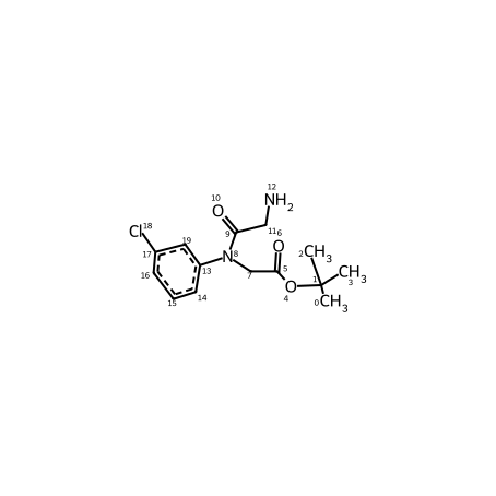 CC(C)(C)OC(=O)CN(C(=O)CN)c1cccc(Cl)c1